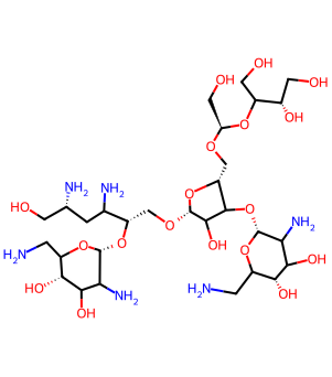 NCC1O[C@H](OC2C(O)[C@H](OC[C@H](O[C@H]3OC(CN)[C@@H](O)C(O)C3N)C(N)C[C@@H](N)CO)O[C@@H]2CO[C@@H](CO)OC(CO)[C@@H](O)CO)C(N)C(O)[C@@H]1O